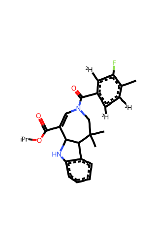 [2H]c1c([2H])c(C(=O)N2C=C(C(=O)OC(C)C)C3Nc4ccccc4C3C(C)(C)C2)c([2H])c(F)c1C